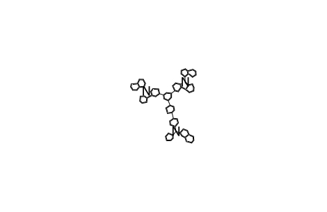 c1ccc(N(c2ccc(-c3ccc(-c4cc(-c5ccc6c(c5)c5ccccc5n6-c5cccc6ccccc56)cc(-c5ccc6c(c5)c5ccccc5n6-c5cccc6ccccc56)c4)cc3)cc2)c2ccc3ccccc3c2)cc1